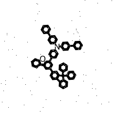 c1ccc(-c2ccc(N(c3ccc(-c4ccccc4)cc3)c3ccc(-c4cc(-c5ccc6c(c5)C(c5ccccc5)(c5ccccc5)c5ccccc5-6)cc5c4oc4ccccc45)cc3)cc2)cc1